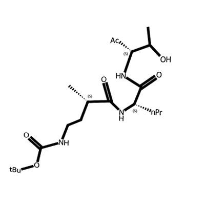 CCC[C@H](NC(=O)[C@@H](C)CCNC(=O)OC(C)(C)C)C(=O)N[C@H](C(C)=O)C(C)O